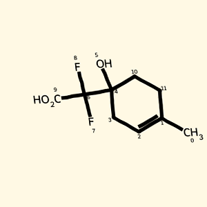 CC1=CCC(O)(C(F)(F)C(=O)O)CC1